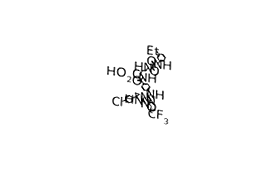 CCc1cccc(NC(=O)C(=O)NCC[C@H](NC(=O)c2ccc(Nc3nc(NC4(c5ccc(Cl)cc5)CC4)nc(OCC(F)(F)F)n3)cc2)C(=O)O)c1